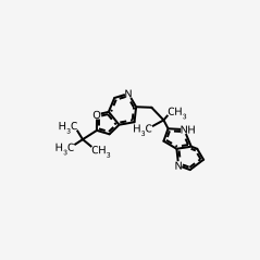 CC(C)(C)c1cc2cc(CC(C)(C)c3cc4ncccc4[nH]3)ncc2o1